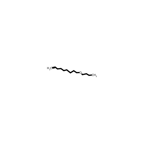 C=CCCCCCCCOCCCC